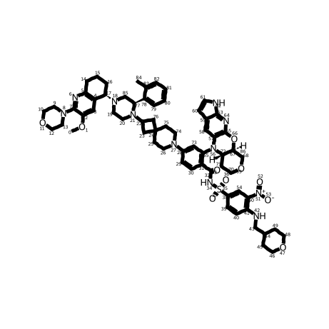 COc1cc2c(nc1N1CCOCC1)CCC[C@@H]2N1CCN(C2CC3(CCN(c4ccc(C(=O)NS(=O)(=O)c5ccc(NCC6CCOCC6)c([N+](=O)[O-])c5)c(N5c6cc7cc[nH]c7nc6O[C@H]6COCC[C@@H]65)c4)CC3)C2)[C@H](c2ccccc2C)C1